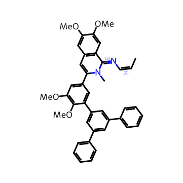 C/C=C\N=c1\c2cc(OC)c(OC)cc2cc(-c2cc(OC)c(OC)c(-c3cc(-c4ccccc4)cc(-c4ccccc4)c3)c2)n1C